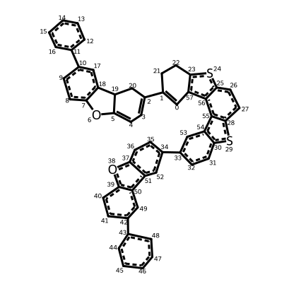 C1=C(C2=CC=C3Oc4ccc(-c5ccccc5)cc4C3C2)CCc2sc3ccc4sc5ccc(-c6ccc7oc8ccc(-c9ccccc9)cc8c7c6)cc5c4c3c21